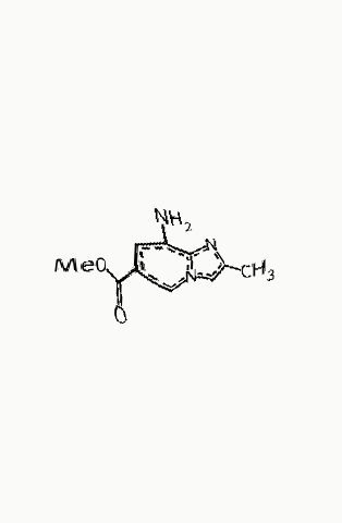 COC(=O)c1cc(N)c2nc(C)cn2c1